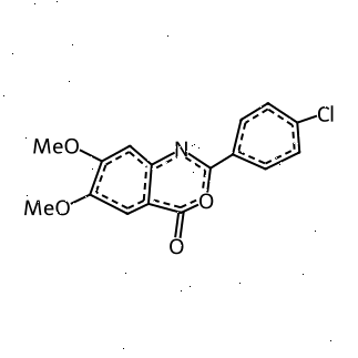 COc1cc2nc(-c3ccc(Cl)cc3)oc(=O)c2cc1OC